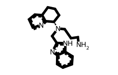 NCCCN(Cc1nc2ccccc2[nH]1)[C@H]1CCCc2cccnc21